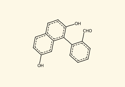 O=Cc1ccccc1-c1c(O)ccc2ccc(O)cc12